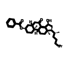 CC(C)CCC[C@@H](C)[C@H]1C[C@H](O)C2=C3C(=O)C[C@H]4C[C@@H](OC(=O)c5ccccc5)CC[C@]4(C)[C@H]3CC[C@@]21C